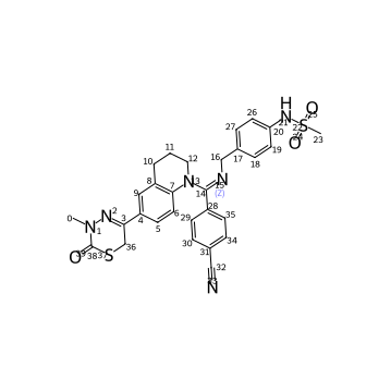 CN1N=C(c2ccc3c(c2)CCCN3/C(=N\Cc2ccc(NS(C)(=O)=O)cc2)c2ccc(C#N)cc2)CSC1=O